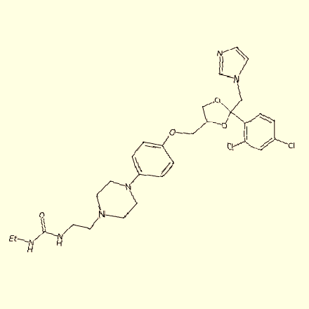 CCNC(=O)NCCN1CCN(c2ccc(OCC3COC(Cn4ccnc4)(c4ccc(Cl)cc4Cl)O3)cc2)CC1